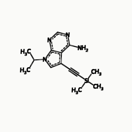 CC(C)n1cc(C#C[Si](C)(C)C)c2c(N)ncnc21